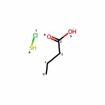 CCCC(=O)O.SCl